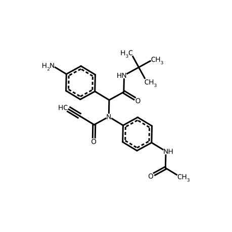 C#CC(=O)N(c1ccc(NC(C)=O)cc1)C(C(=O)NC(C)(C)C)c1ccc(N)cc1